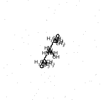 CC1(C)CC(CCCCNc2nc(NCCO)nc(NCCCCC3CC(C)(C)N(OC4CCCCC4)C(C)(C)C3)n2)CC(C)(C)N1OC1CCCCC1